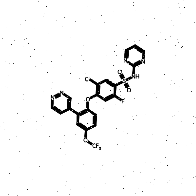 O=S(=O)(Nc1ncccn1)c1cc(Cl)c(Oc2ccc(OC(F)(F)F)cc2-c2ccnnc2)cc1F